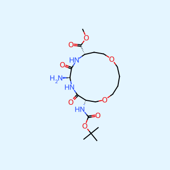 COC(=O)[C@@H]1CCOCCCCOC[C@H](NC(=O)OC(C)(C)C)C(=O)N[C@@H](N)C(=O)N1